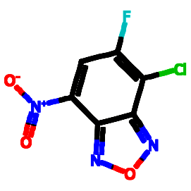 O=[N+]([O-])c1cc(F)c(Cl)c2nonc12